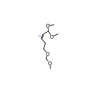 COCOCC/C=C\C(OC)OC